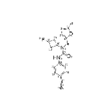 Cc1ccc(CN(C(=O)Nc2ccc(C#N)cc2)C2CC(F)C2)o1